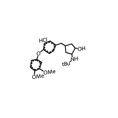 COc1ccc(Oc2ccc(CC3CC(O)C(NC(C)(C)C)C3)cc2)cc1OC.Cl